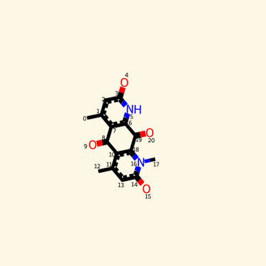 Cc1cc(=O)[nH]c2c1C(=O)c1c(C)cc(=O)n(C)c1C2=O